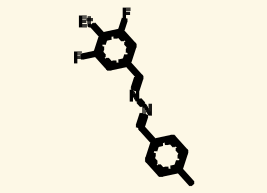 CCc1c(F)cc(C=NN=Cc2ccc(C)cc2)cc1F